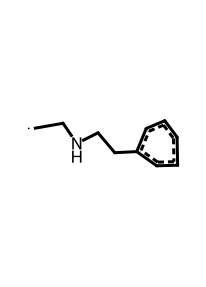 [CH2]CNCCc1ccccc1